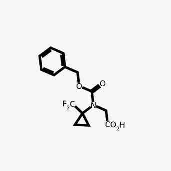 O=C(O)CN(C(=O)OCc1ccccc1)C1(C(F)(F)F)CC1